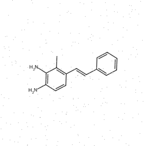 Cc1c(C=Cc2ccccc2)ccc(N)c1N